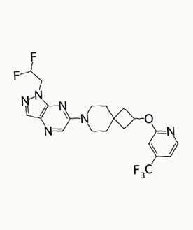 FC(F)Cn1ncc2ncc(N3CCC4(CC3)CC(Oc3cc(C(F)(F)F)ccn3)C4)nc21